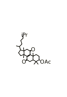 CC(=O)OC1CCC2(C)C3=C(C(=O)CC2C1(C)C)C1(C)CCC(C(C)CCCC(C)C)C1(C)CC3=O